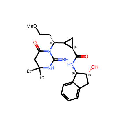 CCC1(CC)CC(=O)N([C@H](CCOC)C2C[C@H]2C(=O)N[C@@H]2c3ccccc3C[C@H]2O)C(=N)N1